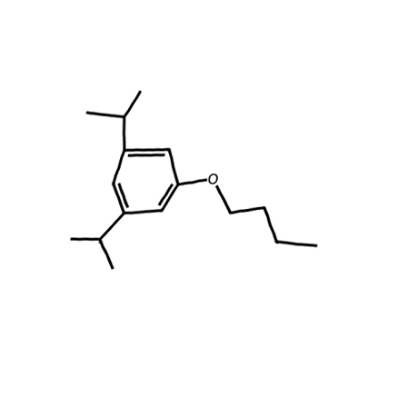 CCCCOc1cc([C](C)C)cc(C(C)C)c1